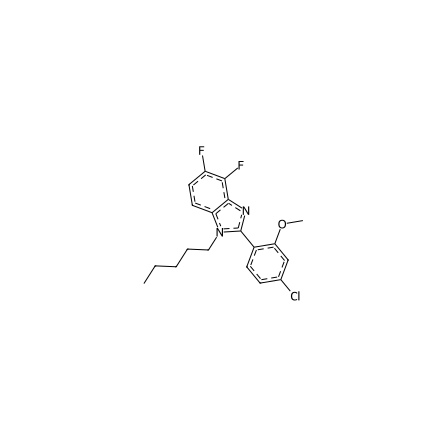 CCCCCn1c(-c2ccc(Cl)cc2OC)nc2c(F)c(F)ccc21